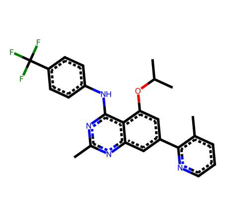 Cc1nc(Nc2ccc(C(F)(F)F)cc2)c2c(OC(C)C)cc(-c3ncccc3C)cc2n1